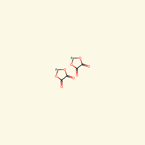 O=C1[O][Fe][O]C1=O.O=C1[O][Fe][O]C1=O